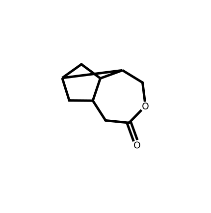 O=C1CC2CC3CC2C3CO1